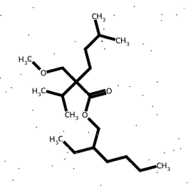 CCCCC(CC)COC(=O)C(CCC(C)C)(COC)C(C)C